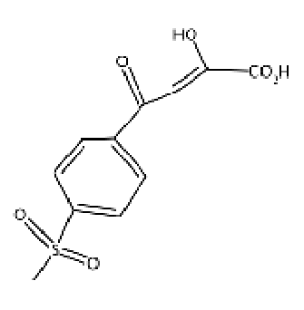 CS(=O)(=O)c1ccc(C(=O)C=C(O)C(=O)O)cc1